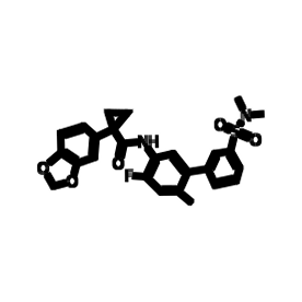 Cc1cc(F)c(NC(=O)C2(c3ccc4c(c3)OCO4)CC2)cc1-c1cccc(S(=O)(=O)N(C)C)c1